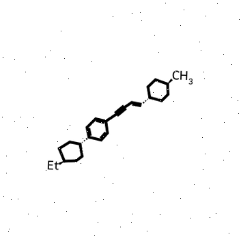 CC[C@H]1CC[C@H](c2ccc(C#CC=C[C@H]3CC[C@H](C)CC3)cc2)CC1